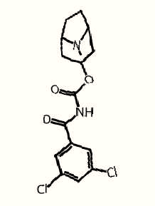 CN1C2CCC1CC(OC(=O)NC(=O)c1cc(Cl)cc(Cl)c1)C2